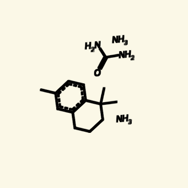 Cc1ccc2c(c1)CCCC2(C)C.N.N.NC(N)=O